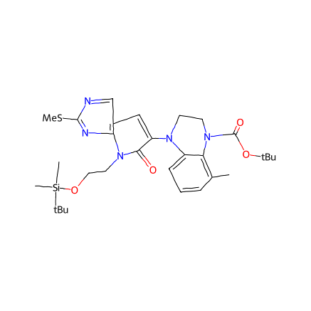 CSc1ncc2cc(N3CCN(C(=O)OC(C)(C)C)c4c(C)cccc43)c(=O)n(CCO[Si](C)(C)C(C)(C)C)c2n1